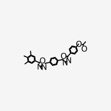 CC(=O)Oc1ccc(-c2nnc(-c3ccc(-c4nnc(-c5cc(C)c(C)c(C)c5)o4)cc3)o2)cc1